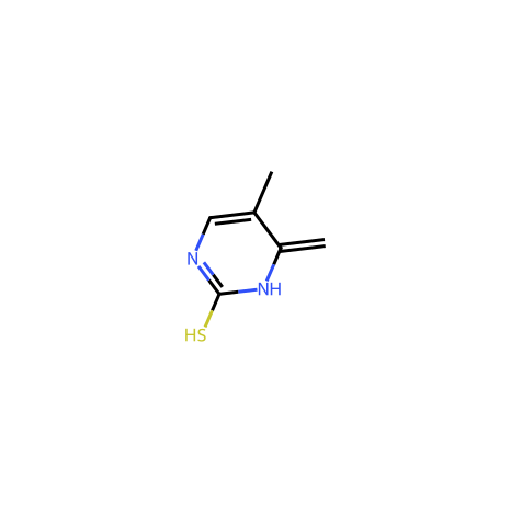 C=C1NC(S)=NC=C1C